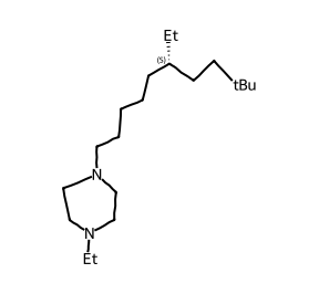 CC[C@@H](CCCCCN1CCN(CC)CC1)CCC(C)(C)C